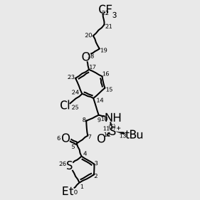 CCc1ccc(C(=O)CCC(N[S@+]([O-])C(C)(C)C)c2ccc(OCCCC(F)(F)F)cc2Cl)s1